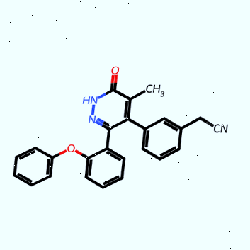 Cc1c(-c2cccc(CC#N)c2)c(-c2ccccc2Oc2ccccc2)n[nH]c1=O